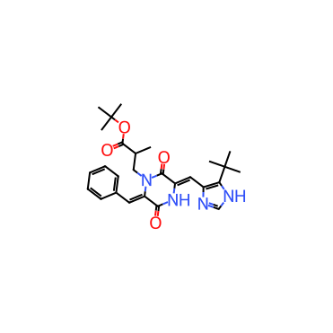 CC(Cn1c(=O)/c(=C/c2nc[nH]c2C(C)(C)C)[nH]c(=O)/c1=C/c1ccccc1)C(=O)OC(C)(C)C